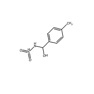 Cc1ccc(C(O)N[SH](=O)=O)cc1